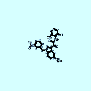 O=C(Nc1c(Cl)cncc1Cl)C(=O)c1cn(Cc2cccc([N+](=O)[O-])c2)c2ccc(O)cc12.[NaH]